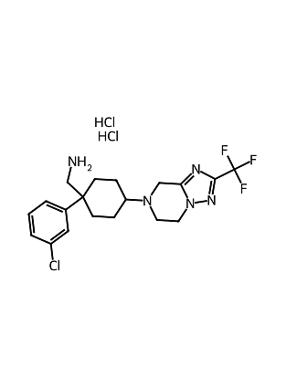 Cl.Cl.NCC1(c2cccc(Cl)c2)CCC(N2CCn3nc(C(F)(F)F)nc3C2)CC1